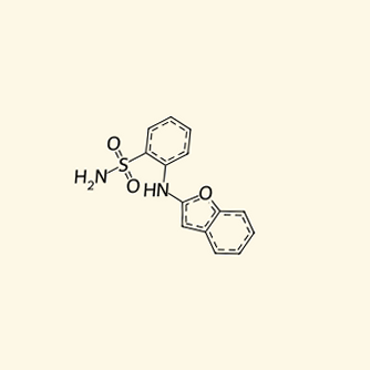 NS(=O)(=O)c1ccccc1Nc1cc2ccccc2o1